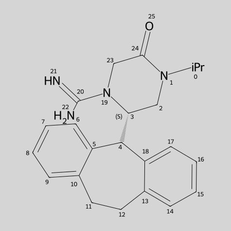 CC(C)N1C[C@H](C2c3ccccc3CCc3ccccc32)N(C(=N)N)CC1=O